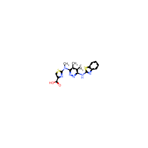 Cc1c(Nc2nc3ccccc3s2)nnc(N(C)c2nc(C(=O)O)cs2)c1C